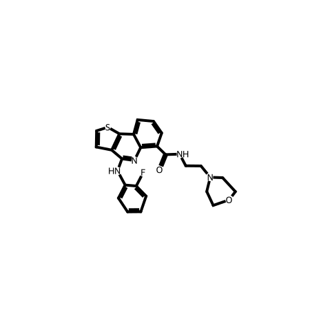 O=C(NCCN1CCOCC1)c1cccc2c1nc(Nc1ccccc1F)c1ccsc12